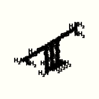 NCCN(CCN)CCNCCOCCOCCOCC(COCC(COCC(COCCOCCOCCNCCN(CCN)CCN)OCCOCCOCCNCCN(CCN)CCN)OCCOCCOCCNCCN(CCN)CCN)OCCOCCOCCNCCN(CCN)CCN